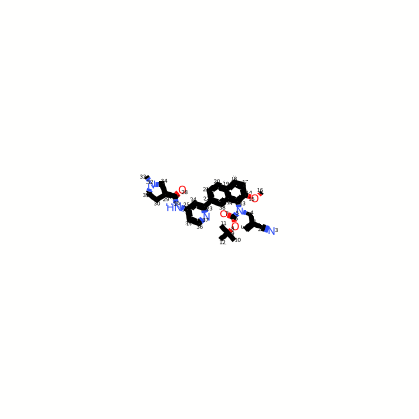 C=C(C#N)CN(C(=O)OC(C)(C)C)c1c(OC)ccc2ccc(-c3cc(NC(=O)C4CCN(C)C4)ccn3)cc12